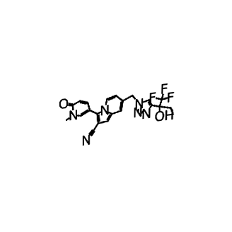 CCC(O)(c1cn(Cc2ccn3c(-c4ccc(=O)n(C)c4)c(C#N)cc3c2)nn1)C(F)(F)F